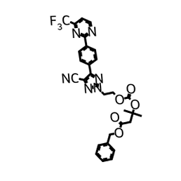 CC(C)(CC(=O)OCc1ccccc1)OC(=O)OCCn1nc(C#N)c(-c2ccc(-c3nccc(C(F)(F)F)n3)cc2)n1